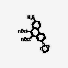 Bc1ccc2c(c1)c(CCCCCCCC)c(CCCCCCCC)c1cc(B3OCCO3)ccc12